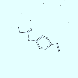 C=Cc1ccc(OC(=O)CC)cc1